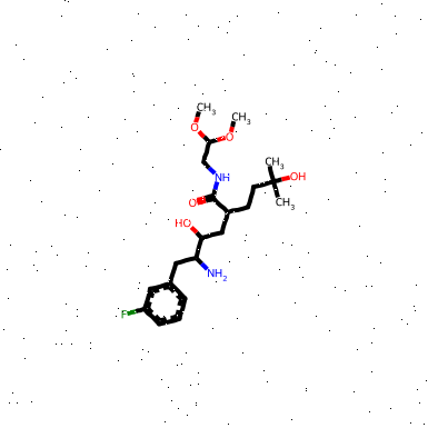 COC(CNC(=O)C(CCC(C)(C)O)CC(O)C(N)Cc1cccc(F)c1)OC